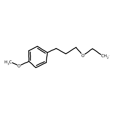 [CH2]COCCCc1ccc(OC)cc1